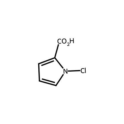 O=C(O)c1cccn1Cl